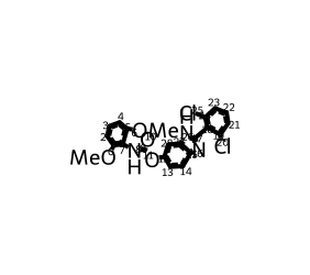 COc1cccc(OC)c1NC(=O)Oc1ccc2nc(-c3c(Cl)cccc3Cl)[nH]c2c1